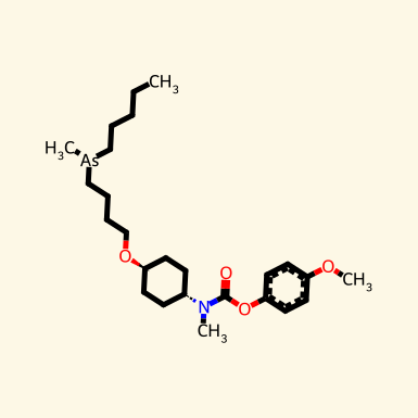 CCCCC[As](C)CCCCO[C@H]1CC[C@H](N(C)C(=O)Oc2ccc(OC)cc2)CC1